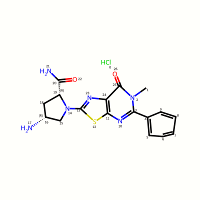 Cl.Cn1c(-c2ccccc2)nc2sc(N3C[C@H](N)C[C@@H]3C(N)=O)nc2c1=O